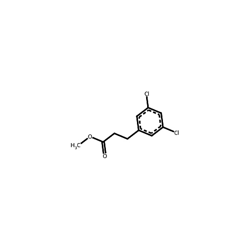 COC(=O)CCc1cc(Cl)cc(Cl)c1